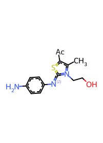 CC(=O)c1s/c(=N\c2ccc(N)cc2)n(CCO)c1C